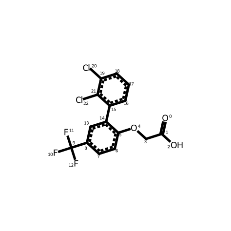 O=C(O)COc1ccc(C(F)(F)F)cc1-c1cccc(Cl)c1Cl